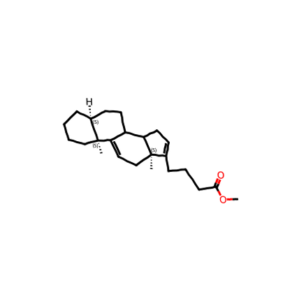 COC(=O)CCCC1=CCC2C3CC[C@@H]4CCCC[C@]4(C)C3=CC[C@]12C